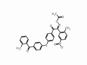 CC(=O)O/N=C(\C(=O)c1ccc(Sc2ccc(C(=O)c3ccccc3C)cc2)cc1)c1cc([N+](=O)[O-])ccc1C